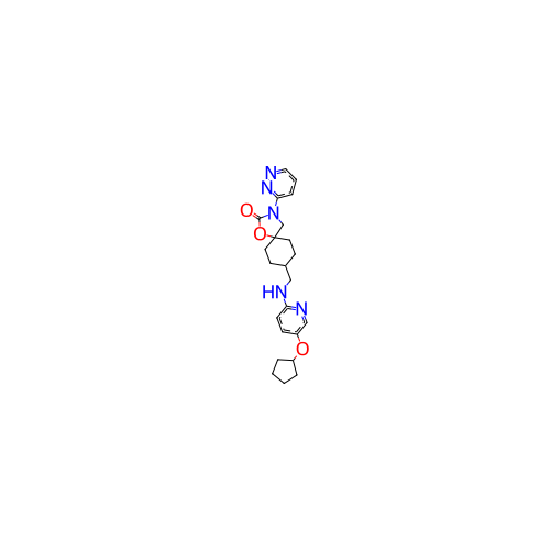 O=C1OC2(CCC(CNc3ccc(OC4CCCC4)cn3)CC2)CN1c1cccnn1